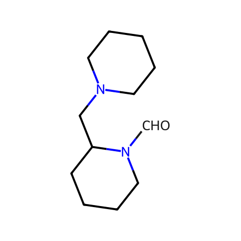 O=CN1CCCCC1CN1CCCCC1